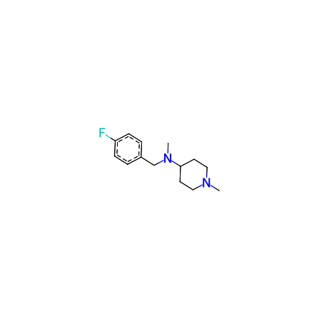 CN1CCC(N(C)Cc2ccc(F)cc2)CC1